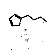 CCCCC1=CC=CC1.[Cl-].[Cl-].[Hf+2]